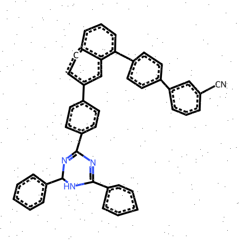 N#Cc1cccc(-c2ccc(-c3cccc4ccc(-c5ccc(C6=NC(c7ccccc7)NC(c7ccccc7)=N6)cc5)cc34)cc2)c1